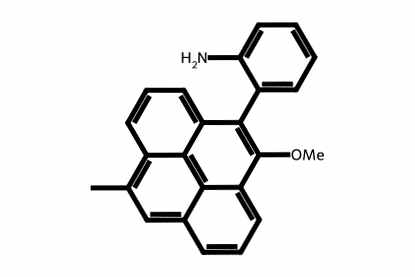 COc1c(-c2ccccc2N)c2cccc3c(C)cc4cccc1c4c32